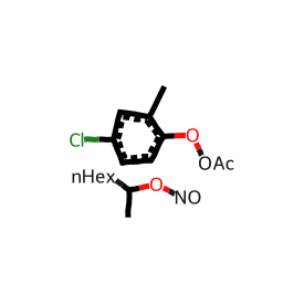 CC(=O)OOc1ccc(Cl)cc1C.CCCCCCC(C)ON=O